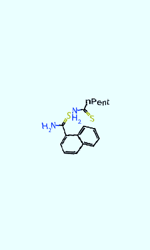 CCCCCC(N)=S.NC(=S)c1cccc2ccccc12